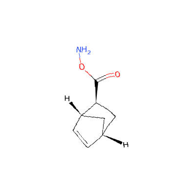 NOC(=O)[C@H]1C[C@@H]2C=C[C@H]1C2